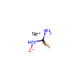 NC(=S)N[O-].[Na+]